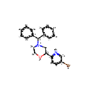 Brc1ccc(C2CN(C(c3ccccc3)c3ccccc3)CCO2)nc1